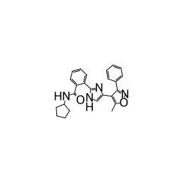 Cc1onc(-c2ccccc2)c1-c1c[nH]c(-c2ccccc2C(=O)NC2CCCC2)n1